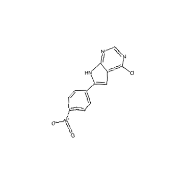 O=[N+]([O-])c1ccc(-c2cc3c(Cl)ncnc3[nH]2)cc1